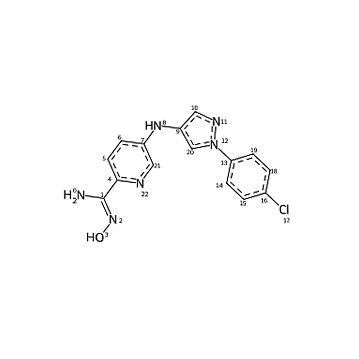 N/C(=N\O)c1ccc(Nc2cnn(-c3ccc(Cl)cc3)c2)cn1